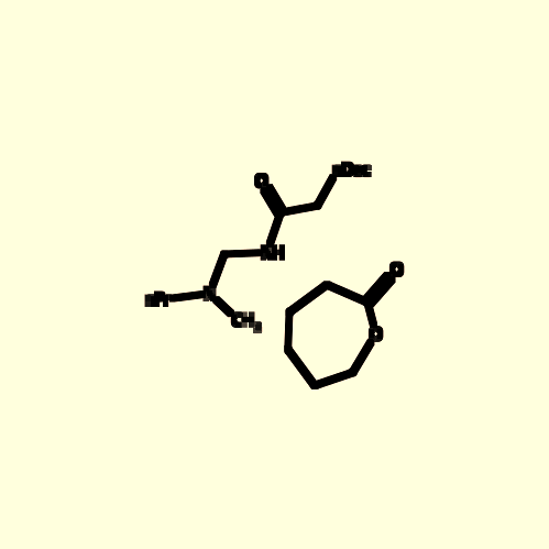 CCCCCCCCCCCC(=O)NCN(C)CCC.O=C1CCCCCO1